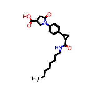 CCCCCCCCNC(=O)C1CC1c1ccc(N2CC(C(=O)O)CC2=O)cc1